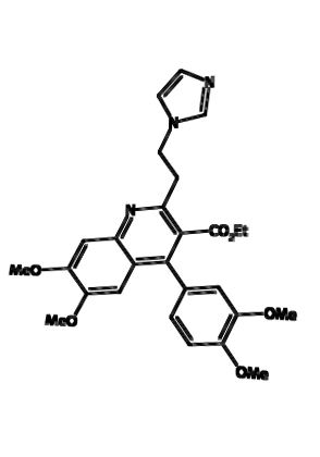 CCOC(=O)c1c(CCn2ccnc2)nc2cc(OC)c(OC)cc2c1-c1ccc(OC)c(OC)c1